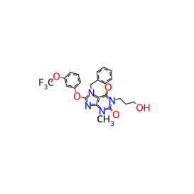 Cn1c(=O)n(CCCO)c(=O)c2c1nc(Oc1cccc(OC(F)(F)F)c1)n2Cc1ccccc1